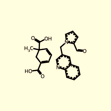 CC1(C(=O)O)C=CC=C(C(=O)O)C1.O=Cc1cccn1Cc1cnc2ccccc2c1